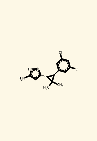 CC1(C)[C@H](c2cc(Cl)cc(Cl)c2)[C@H]1c1cc(N)[nH]n1